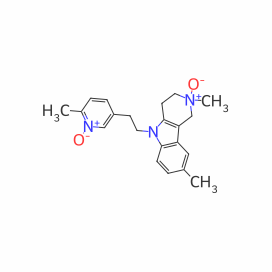 Cc1ccc2c(c1)c1c(n2CCc2ccc(C)[n+]([O-])c2)CC[N+](C)([O-])C1